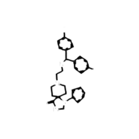 O=C1NCN(c2ccccc2)C12CCN(CCNC(c1ccc(F)cc1)c1ccc(F)cc1)CC2